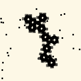 C1=CCC2C(=C1)c1cc(-c3ccc(N(c4ccccc4)c4cc5ccccc5c5ccccc45)cc3)ccc1N2c1ccc(-c2cccc3c2sc2ccccc23)cc1